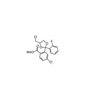 COC(=O)c1ccc(Cl)cc1C1(c2ccccc2F)OCC(CCl)O1